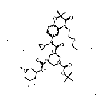 CCOCCN1C(=O)C(C)(C)Oc2ccc(N(C(=O)[C@@H]3C[C@H](C(=O)NC(COC)CC(C)C)CN(C(=O)OC(C)(C)C)C3)C3CC3)cc21